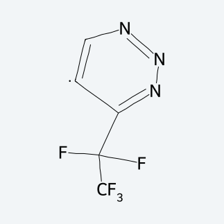 FC(F)(F)C(F)(F)c1[c]cnnn1